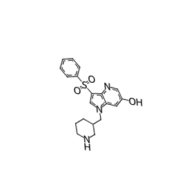 O=S(=O)(c1ccccc1)c1cn(CC2CCCNC2)c2cc(O)cnc12